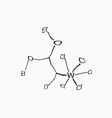 CCOC(OCC)[CH](Cl)[W]([Cl])([Cl])([Cl])([Cl])[Cl]